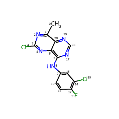 Cc1nc(Cl)nc2c(Nc3ccc(F)c(Cl)c3)ncnc12